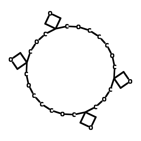 C1COCC2(COC2)COCC2(COCCCOCC3(COC3)COCC3(COC1)COC3)COC2